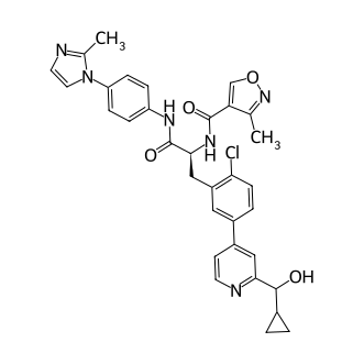 Cc1nocc1C(=O)N[C@@H](Cc1cc(-c2ccnc(C(O)C3CC3)c2)ccc1Cl)C(=O)Nc1ccc(-n2ccnc2C)cc1